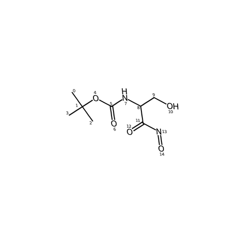 CC(C)(C)OC(=O)NC(CO)C(=O)N=O